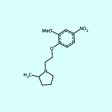 COc1cc([N+](=O)[O-])ccc1OCCN1CCCC1C